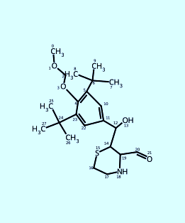 COCOc1c(C(C)(C)C)cc(C(O)C2SCCNC2C=O)cc1C(C)(C)C